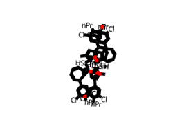 CCCc1c(Cl)cc(C2C=CC=CC3=C2C=C(C)[C]32[SiH](C)[C]3(C(C)=CC4=C3C=CC=CC4c3cc(Cl)c(CCC)c(Cl)c3)[Hf]23([Cl])([Cl])[C]2(C(C)=CC4=C2C=CC=CC4c2cc(Cl)c(CCC)c(Cl)c2)[SiH](C)[C]32C(C)=CC3=C2C=CC=CC3c2cc(Cl)c(CCC)c(Cl)c2)cc1Cl